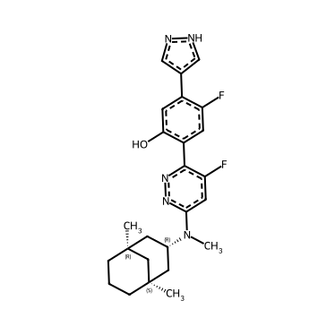 CN(c1cc(F)c(-c2cc(F)c(-c3cn[nH]c3)cc2O)nn1)[C@H]1C[C@]2(C)CCC[C@](C)(C1)C2